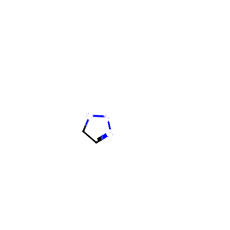 C1=N[N]NC1